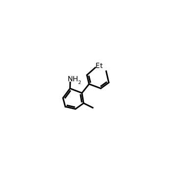 C/C=C\C(=C/CC)c1c(C)cccc1N